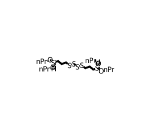 CCCO[SiH](CCCSSSSCCC[SiH](OCCC)OCCC)OCCC